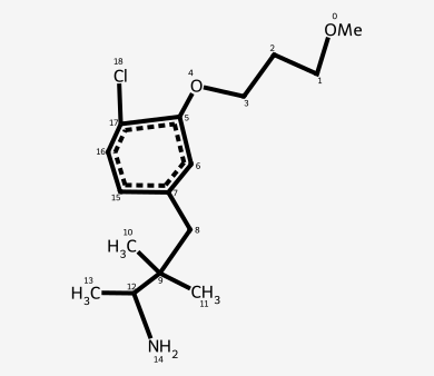 COCCCOc1cc(CC(C)(C)C(C)N)ccc1Cl